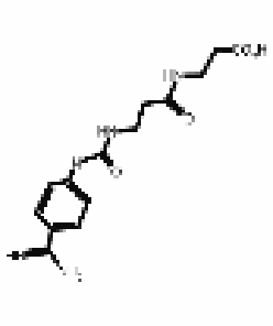 N=C(N)c1ccc(NC(=O)NCCC(=O)NCCC(=O)O)cc1